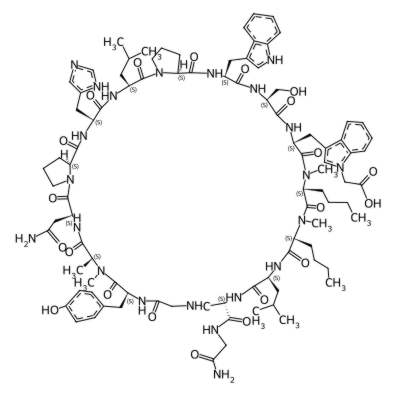 CCCC[C@H]1C(=O)N(C)[C@@H](CCCC)C(=O)N[C@@H](CC(C)C)C(=O)N[C@H](C(=O)NCC(N)=O)CNCC(=O)N[C@@H](Cc2ccc(O)cc2)C(=O)N(C)[C@@H](C)C(=O)N[C@@H](CC(N)=O)C(=O)N2CCC[C@H]2C(=O)N[C@@H](Cc2cnc[nH]2)C(=O)N[C@@H](CC(C)C)C(=O)N2CCC[C@H]2C(=O)N[C@@H](Cc2c[nH]c3ccccc23)C(=O)N[C@@H](CO)C(=O)N[C@@H](Cc2cn(CC(=O)O)c3ccccc23)C(=O)N1C